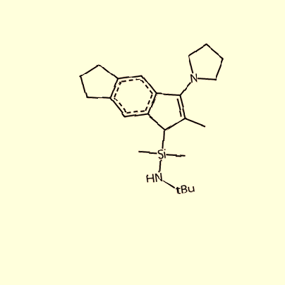 CC1=C(N2CCCC2)c2cc3c(cc2C1[Si](C)(C)NC(C)(C)C)CCC3